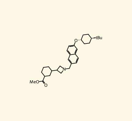 COC(=O)C1CCCC(C2CN(Cc3ccc4cc(O[C@H]5CC[C@H](C(C)(C)C)CC5)ccc4c3)C2)C1